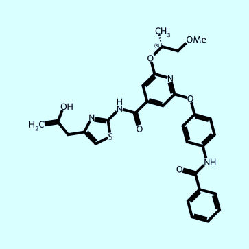 C=C(O)Cc1csc(NC(=O)c2cc(Oc3ccc(NC(=O)c4ccccc4)cc3)nc(O[C@H](C)COC)c2)n1